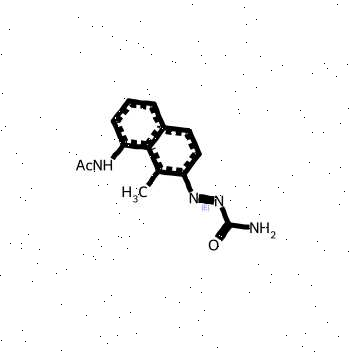 CC(=O)Nc1cccc2ccc(/N=N/C(N)=O)c(C)c12